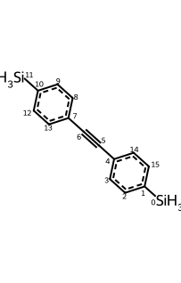 [SiH3]c1ccc(C#Cc2ccc([SiH3])cc2)cc1